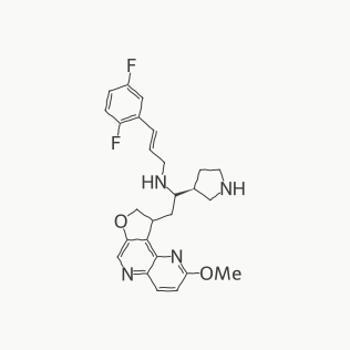 COc1ccc2ncc3c(c2n1)C(CC(NCC=Cc1cc(F)ccc1F)[C@H]1CCNC1)CO3